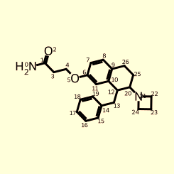 NC(=O)CCOc1ccc2c(c1)C(Cc1ccccc1)C(N1CCC1)CC2